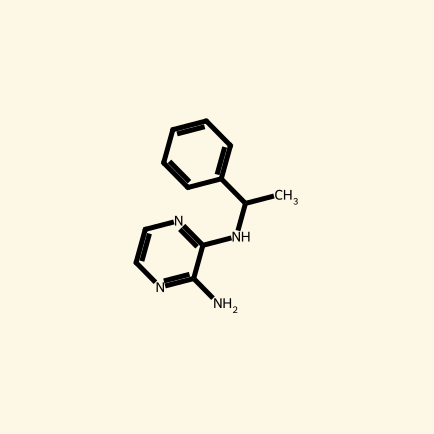 CC(Nc1nccnc1N)c1ccccc1